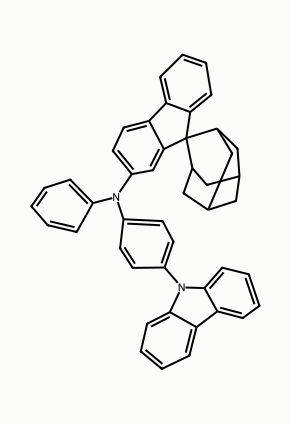 c1ccc(N(c2ccc(-n3c4ccccc4c4ccccc43)cc2)c2ccc3c(c2)C2(c4ccccc4-3)C3CC4CC(C3)CC2C4)cc1